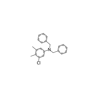 Cc1cc(N(Cc2ccccc2)Cc2ccccc2)cc(Cl)c1C